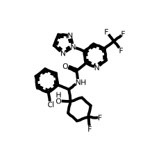 O=C(NC(c1ccccc1Cl)C1(O)CCC(F)(F)CC1)c1ncc(C(F)(F)F)cc1-n1nccn1